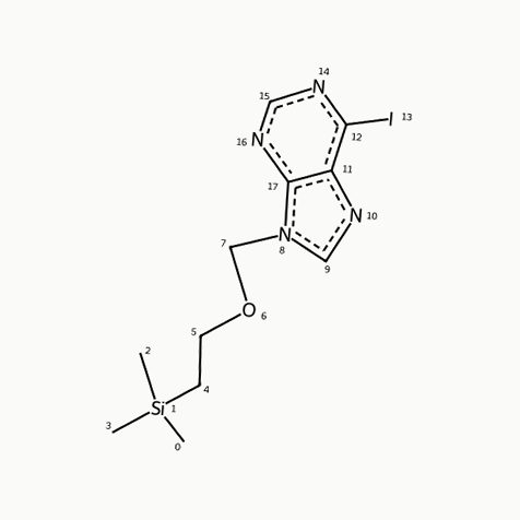 C[Si](C)(C)CCOCn1cnc2c(I)ncnc21